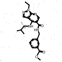 CCn1ncc2c(N[C@@H](C)C(C)C)c(C(=O)NCc3cccc(C(=O)OC)c3)cnc21